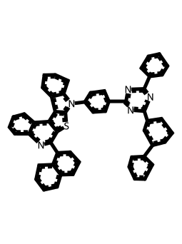 c1ccc(-c2cccc(-c3nc(-c4ccccc4)nc(-c4ccc(-n5c6ccccc6c6c7c(sc65)c(-c5cccc6ccccc56)nc5ccccc57)cc4)n3)c2)cc1